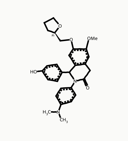 COc1cc2c(cc1OC[C@H]1CCCO1)C(c1ccc(O)cc1)N(c1ccc(N(C)C)cc1)C(=O)C2